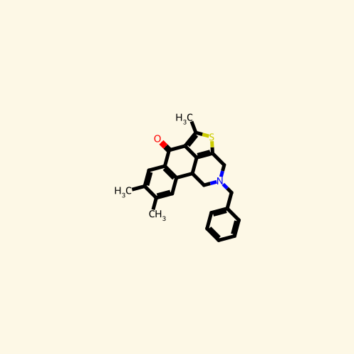 Cc1cc2c(cc1C)C1CN(Cc3ccccc3)Cc3sc(C)c(c31)C2=O